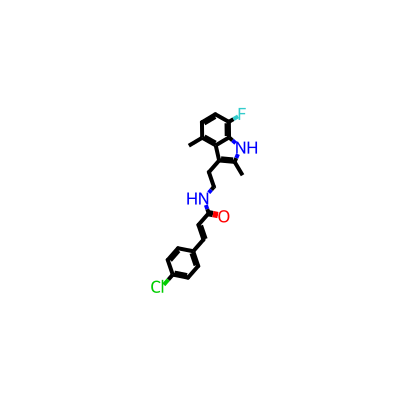 Cc1[nH]c2c(F)ccc(C)c2c1CCNC(=O)C=Cc1ccc(Cl)cc1